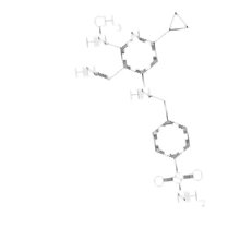 CNc1nc(C2CC2)cc(NCc2ccc(S(N)(=O)=O)cc2)c1C=N